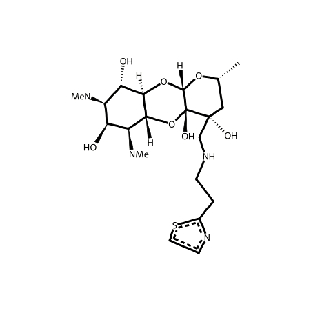 CN[C@@H]1[C@H](O)[C@H](NC)[C@H]2O[C@]3(O)[C@H](O[C@@H]2[C@H]1O)O[C@H](C)C[C@@]3(O)CNCCc1nccs1